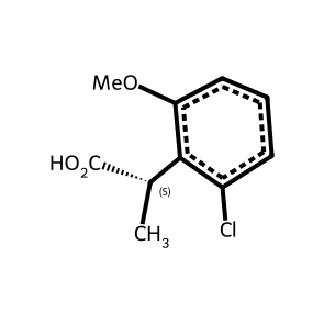 COc1cccc(Cl)c1[C@H](C)C(=O)O